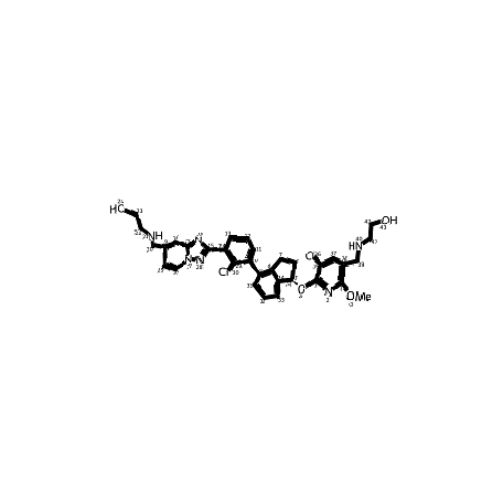 COc1nc(O[C@H]2CCc3c(-c4cccc(-c5nc6cc(CNCCO)ccn6n5)c4Cl)cccc32)c(Cl)cc1CNCCO